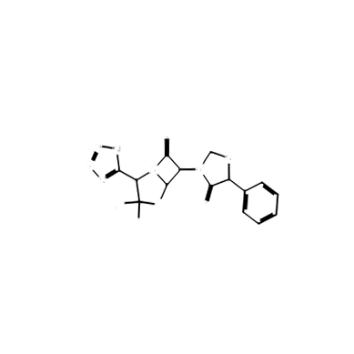 CC1(C)SC2C(N3CNC(c4ccccc4)C3=O)C(=O)N2C1c1nnn[nH]1